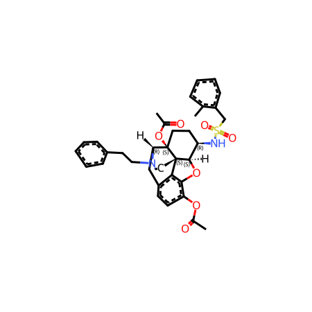 CC(=O)Oc1ccc2c3c1O[C@@H]1[C@H](NS(=O)(=O)Cc4ccccc4C)CC[C@@]4(OC(C)=O)[C@@H](C2)N(CCc2ccccc2)CC[C@]314